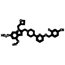 CCCOc1cc(C(=O)O)cc2c1nc(CN1CCC(c3cccc(OCc4ccc(C#N)cc4F)n3)CC1)n2CC1CCO1